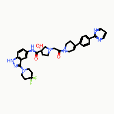 O=C(CN1CC[C@@](O)(C(=O)Nc2ccc3[nH]nc(N4CCC(F)(F)CC4)c3c2)C1)N1CC=C(c2ccc(-c3ncccn3)cc2)CC1